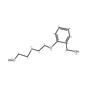 COCCOCCOc1ccccc1CO